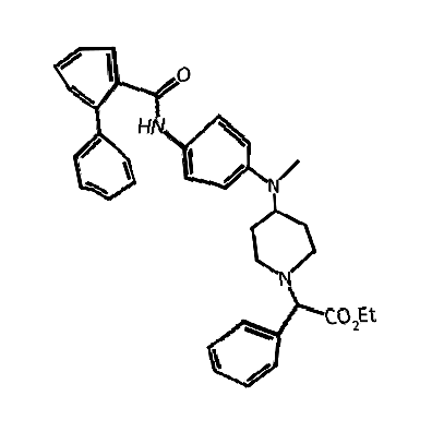 CCOC(=O)C(c1ccccc1)N1CCC(N(C)c2ccc(NC(=O)c3ccccc3-c3ccccc3)cc2)CC1